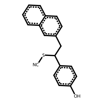 N#CSC(Cc1ccc2ccccc2c1)c1ccc(O)cc1